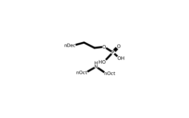 CCCCCCCCCCCCOP(=O)(O)O.CCCCCCCCNCCCCCCCC